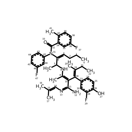 CCC/C=C(\C(C)N/C(C)=C(C(/N)=N\C=C(C)C)\C(=C(/C)CC)c1ccc(O)c(F)c1)N(C(=O)c1cc(F)ccc1C)c1cccc(F)c1